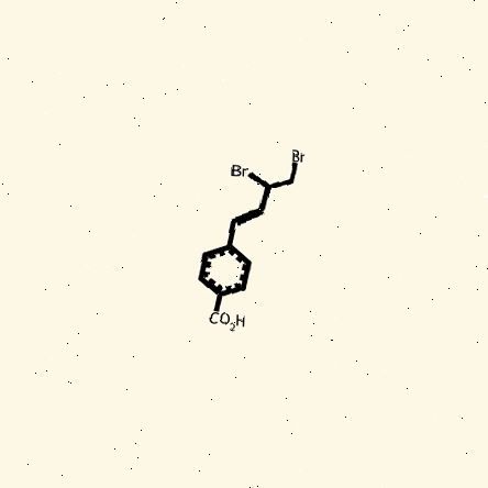 O=C(O)c1ccc(C=CC(Br)CBr)cc1